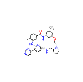 Cc1ccc(C(=O)Nc2cc(OCCN3CCCC3CNC(C)C)cc(C(F)(F)F)c2)cc1Nc1ncccc1-c1ccncn1